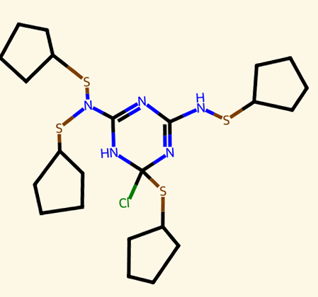 ClC1(SC2CCCC2)N=C(NSC2CCCC2)N=C(N(SC2CCCC2)SC2CCCC2)N1